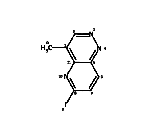 Cc1cnnc2ccc(I)nc12